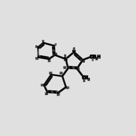 Cc1c(C(=O)O)nn(-c2ccccc2)c1C1C=CC=CC1